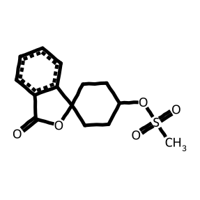 CS(=O)(=O)OC1CCC2(CC1)OC(=O)c1ccccc12